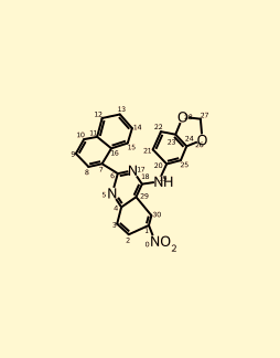 O=[N+]([O-])c1ccc2nc(-c3cccc4ccccc34)nc(Nc3ccc4c(c3)OCO4)c2c1